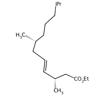 CCOC(=O)C[C@H](C)/C=C/C[C@H](C)CCCC(C)C